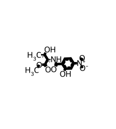 COC(=O)[C@@H](NC(=O)c1ccc([N+](=O)[O-])cc1O)[C@@H](C)O